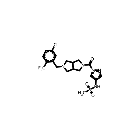 CS(=O)(=O)Nc1cnn(C(=O)N2CC3CN(Cc4cc(Cl)ccc4C(F)(F)F)CC3C2)c1